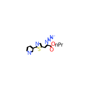 CCCOC(=O)/C(=C/c1cnc(-c2cccnc2)s1)N=[N+]=[N-]